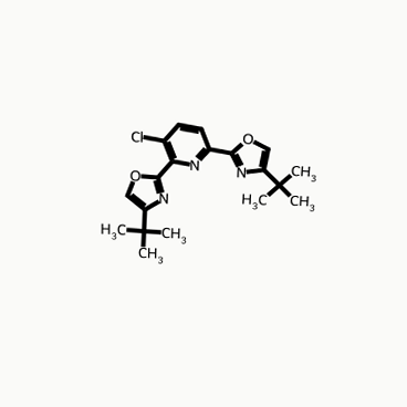 CC(C)(C)c1coc(-c2ccc(Cl)c(-c3nc(C(C)(C)C)co3)n2)n1